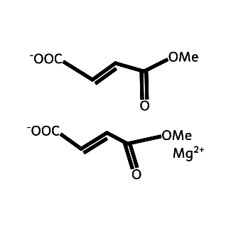 COC(=O)C=CC(=O)[O-].COC(=O)C=CC(=O)[O-].[Mg+2]